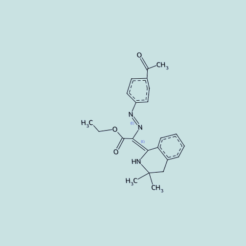 CCOC(=O)C(/N=N/c1ccc(C(C)=O)cc1)=C1\NC(C)(C)Cc2ccccc21